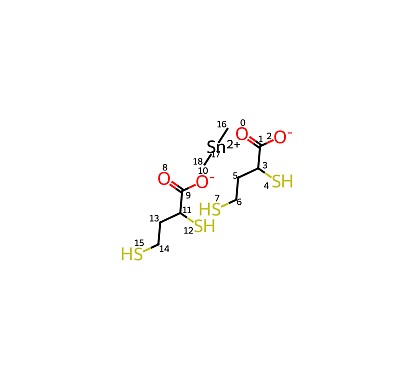 O=C([O-])C(S)CCS.O=C([O-])C(S)CCS.[CH3][Sn+2][CH3]